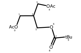 CC(=O)OCC(COC(C)=O)COC(=O)C(C)(C)C